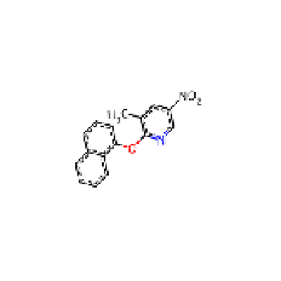 Cc1cc([N+](=O)[O-])cnc1Oc1cccc2ccccc12